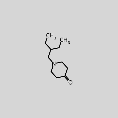 CCC(CC)CN1CCC(=O)CC1